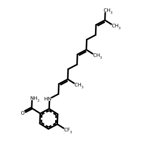 CC(C)=CCC/C(C)=C/CC/C(C)=C/CNc1cc(C(F)(F)F)ccc1C(N)=O